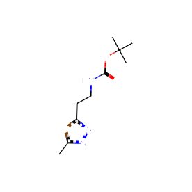 Cc1nnc(CCNC(=O)OC(C)(C)C)s1